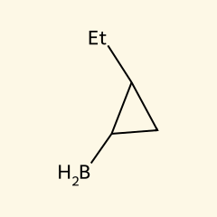 BC1CC1CC